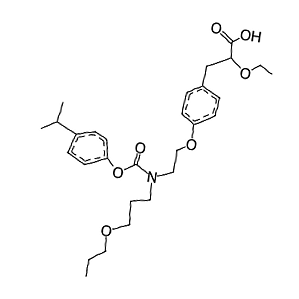 CCCOCCCN(CCOc1ccc(CC(OCC)C(=O)O)cc1)C(=O)Oc1ccc(C(C)C)cc1